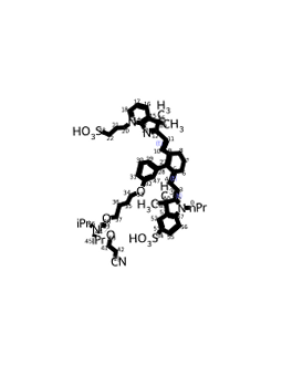 CCCN1/C(=C/C=C2\CCCC(/C=C/C3=Nc4c(ccc[n+]4CCCS(=O)(=O)O)C3(C)C)=C2c2cccc(OCCCCOP(OCCC#N)N(C(C)C)C(C)C)c2)C(C)(C)c2cc(S(=O)(=O)O)ccc21